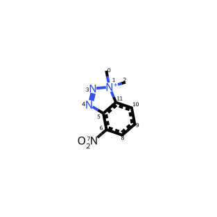 C[N+]1(C)N=Nc2c([N+](=O)[O-])cccc21